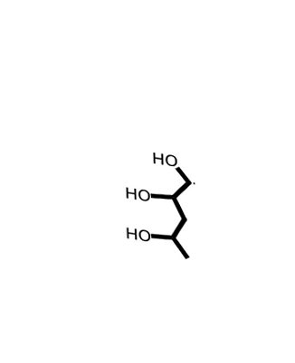 CC(O)CC(O)[CH]O